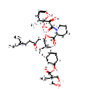 C/C(C=O)=C\CC(=O)C[C@H](OC(=O)[C@@H]1CCCCN1C(=O)C(=O)[C@]1(O)OC=CC[C@H]1C)[C@H](C)C[C@H]1CC[C@H](OC(=O)C(C)(CO)CO)CC1